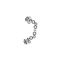 CO/C(=N\c1ccc(Oc2ccc(C(C)(C)c3ccc(Oc4ccc(/N=C(\OC)c5n(C)cc[n+]5C)cc4)cc3)cc2)cc1)c1n(C)cc[n+]1C